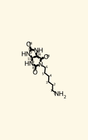 NCCCCCCn1c(=O)[nH]c2[nH]c(=O)[nH]c2c1=O